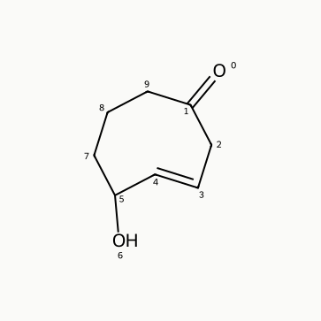 O=C1C/C=C/C(O)CCC1